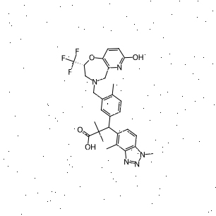 Cc1ccc(C(c2ccc3c(nnn3C)c2C)C(C)(C)C(=O)O)cc1CN1Cc2nc(O)ccc2O[C@@H](C(F)(F)F)C1